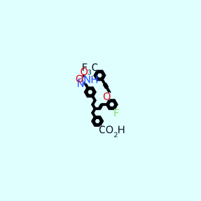 O=C(O)c1ccc(CC(/C=C/c2cc(F)ccc2OCC#Cc2ccc(C(F)(F)F)cc2)CCc2ccc(-c3noc(=O)[nH]3)cc2)cc1